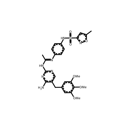 COc1cc(Cc2cnc(NC(C)=Nc3ccc(NS(=O)(=O)c4cc(C)on4)cc3)nc2N)cc(OC)c1OC